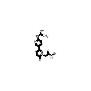 C=C(CCC)Nc1ccc(-c2ccc(=O)n(CC(=O)NCC)n2)cn1